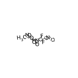 Cc1cc(OC[C@H]2CN(c3cc(F)c(C4=CCN(Cc5ccccc5)CC4)c(F)c3)C(=O)O2)on1